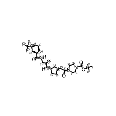 CC(C)(C)OC(=O)N1CCN(C(=O)CN2CC[C@@H](NC(=O)CNC(=O)c3cccc(C(F)(F)F)c3)C2)CC1